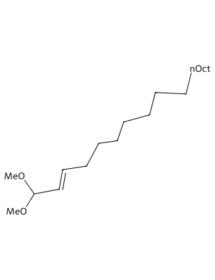 CCCCCCCCCCCCCCCC=CC(OC)OC